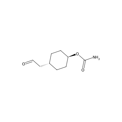 NC(=O)O[C@H]1CC[C@H](CC=O)CC1